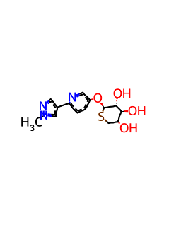 Cn1cc(-c2ccc(O[C@@H]3SC[C@@H](O)[C@H](O)[C@H]3O)cn2)cn1